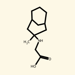 CC1(NCC(=O)O)CC2CCCC(C2)C1